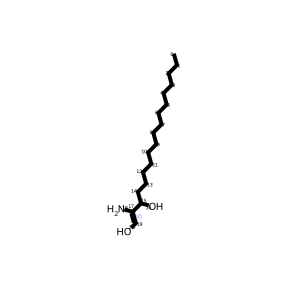 CCCCCCCCCCCCCCCC(O)/C(N)=C/O